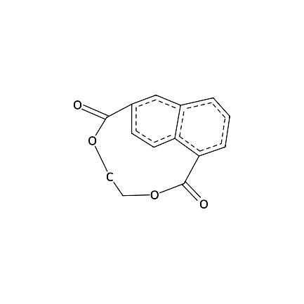 O=C1OCCOC(=O)c2cccc3cc1ccc23